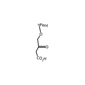 CCCCCOCC(=O)CC(=O)O